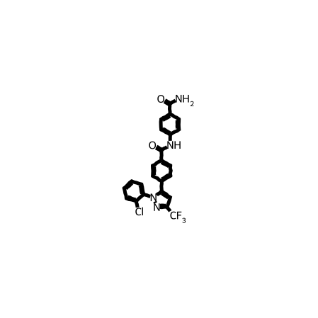 NC(=O)c1ccc(NC(=O)c2ccc(-c3cc(C(F)(F)F)nn3-c3ccccc3Cl)cc2)cc1